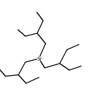 CCC(CC)C[Si](CC(CC)CC)CC(CC)CC